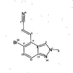 Cn1cc2c(/C=C/C#N)c(Br)ccc2n1